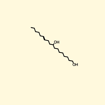 CCCCC/C=C/CCC(O)CCCCCCCCO